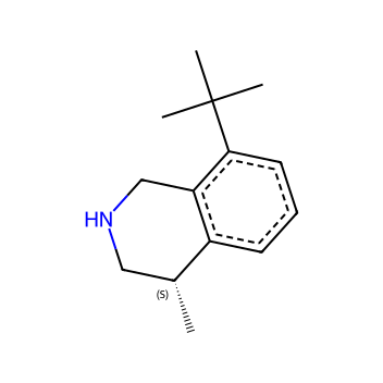 C[C@@H]1CNCc2c1cccc2C(C)(C)C